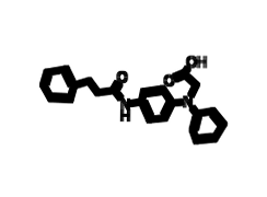 O=C(O)CN(c1ccccc1)c1ccc(NC(=O)CCc2ccccc2)cc1